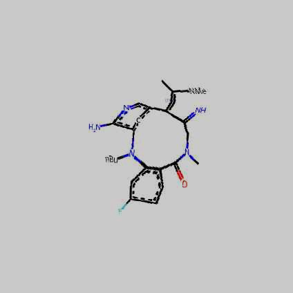 CCCCN1c2cc(F)ccc2C(=O)N(C)CC(=N)/C(=C(/C)NC)c2cnc(N)c1c2